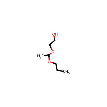 CCCOC(C)OCCO